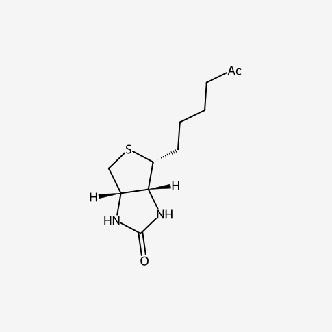 CC(=O)CCCC[C@H]1SC[C@H]2NC(=O)N[C@H]21